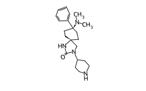 CN(C)[C@]1(c2ccccc2)CC[C@@]2(CC1)CN(C1CCNCC1)C(=O)N2